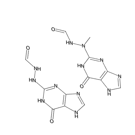 CN(NC=O)c1nc2nc[nH]c2c(=O)[nH]1.O=CNNc1nc2nc[nH]c2c(=O)[nH]1